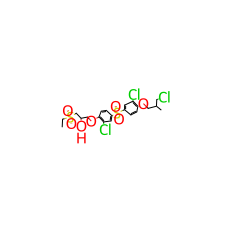 CCS(=O)(=O)CC(O)COc1ccc(S(=O)(=O)c2ccc(OCC(C)CCl)c(Cl)c2)cc1Cl